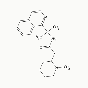 CN1CCCCC1CC(=O)NC(C)(C)c1nccc2ccccc12